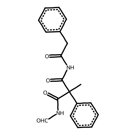 CC(C(=O)NC=O)(C(=O)NC(=O)Cc1ccccc1)c1ccccc1